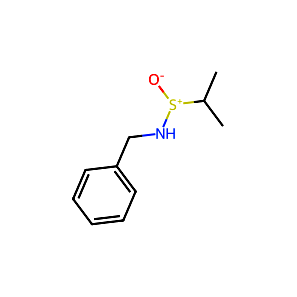 CC(C)[S+]([O-])NCc1ccccc1